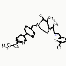 COc1ccc(-c2ccc(CN3CCN(C(=O)/C=C/c4ccc(Cl)s4)C(C)C3=O)cc2)cn1